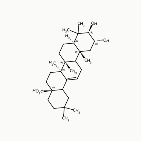 CC1(C)CC[C@]2(C(=O)O)CC[C@]3(C)C(=CCC4[C@@]5(C)C[C@@H](O)[C@H](O)C(C)(C)[C@@H]5CC[C@]43C)C2C1